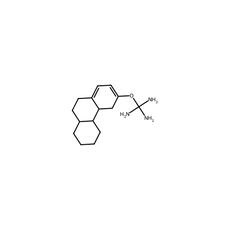 NC(N)(N)OC1=CC=C2CCC3CCCCC3C2C1